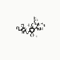 CCN(C)C(=N)c1cc(C)c(Oc2nc(C=O)c(Cl)s2)cc1C